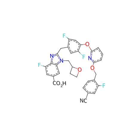 N#Cc1ccc(COc2cccc(Oc3cc(F)c(Cc4nc5c(F)cc(C(=O)O)cc5n4CC4CCO4)cc3F)n2)c(F)c1